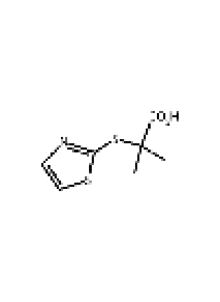 CC(C)(Sc1nccs1)C(=O)O